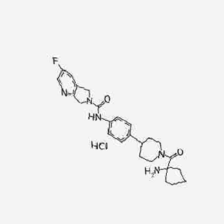 Cl.NC1(C(=O)N2CCC(c3ccc(NC(=O)N4Cc5cc(F)cnc5C4)cc3)CC2)CCCC1